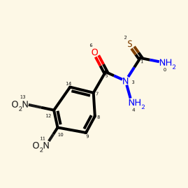 NC(=S)N(N)C(=O)c1ccc([N+](=O)[O-])c([N+](=O)[O-])c1